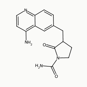 NC(=O)N1CC[C](Cc2ccc3nccc(N)c3c2)C1=O